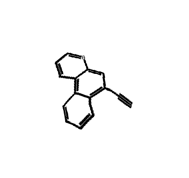 C#Cc1cc2bcccc2c2ccccc12